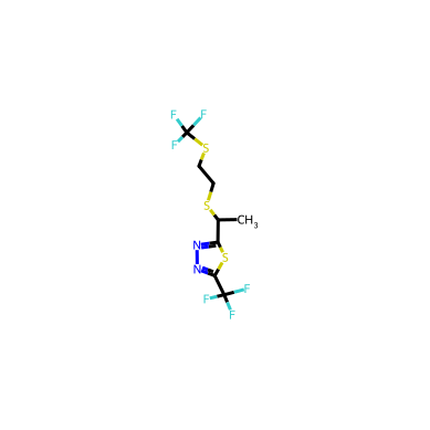 CC(SCCSC(F)(F)F)c1nnc(C(F)(F)F)s1